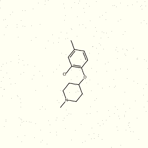 Cc1ccc(OC2CCN(C)CC2)c(Cl)c1